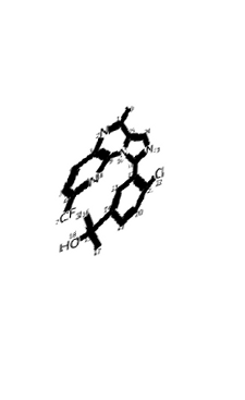 Cc1nc2ccc(C(F)(F)F)nc2n2c(-c3cc(C(C)(C)O)ccc3Cl)ncc12